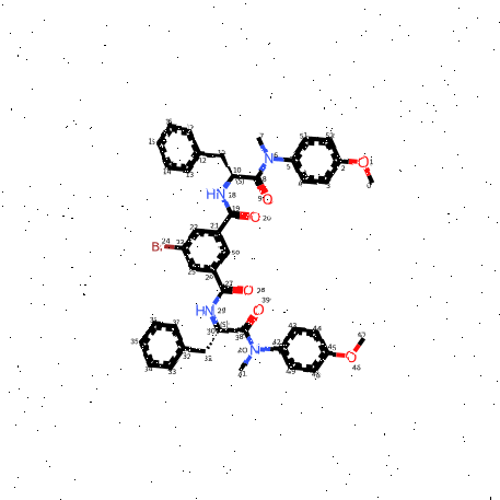 COc1ccc(N(C)C(=O)[C@H](Cc2ccccc2)NC(=O)c2cc(Br)cc(C(=O)N[C@@H](Cc3ccccc3)C(=O)N(C)c3ccc(OC)cc3)c2)cc1